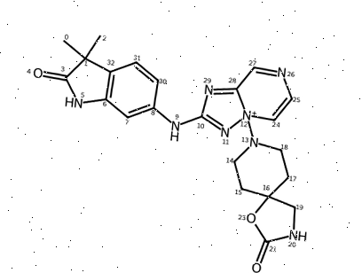 CC1(C)C(=O)Nc2cc(NC3=N[N+]4(N5CCC6(CC5)CNC(=O)O6)C=CN=CC4=N3)ccc21